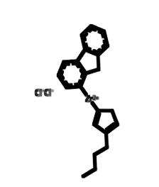 CCCCC1=CC[C]([Zr+2][c]2cccc3c2Cc2ccccc2-3)=C1.[Cl-].[Cl-]